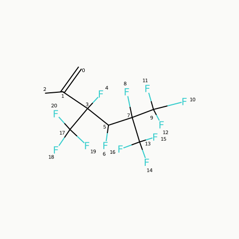 C=C(C)C(F)(C(F)C(F)(C(F)(F)F)C(F)(F)F)C(F)(F)F